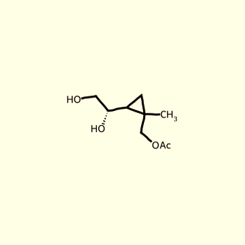 CC(=O)OCC1(C)CC1[C@H](O)CO